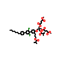 C=C(C)C(=O)OCCCc1cc(-c2c(F)cc(-c3ccc(CCCCCCC)cc3)cc2F)ccc1OCC(COC(=O)/C=C/C(=O)OC)(COC(=O)/C=C/C(=O)OC)COC(=O)C(=C)C